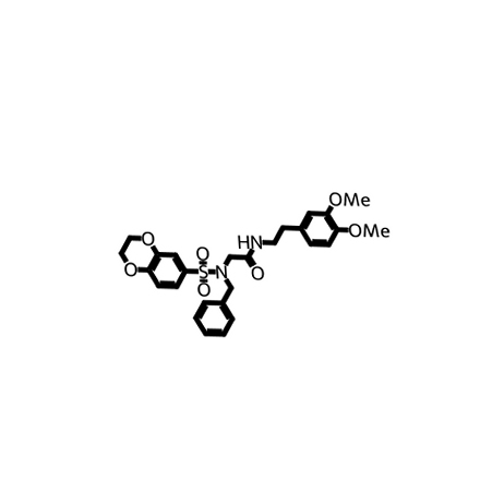 COc1ccc(CCNC(=O)CN(Cc2ccccc2)S(=O)(=O)c2ccc3c(c2)OCCO3)cc1OC